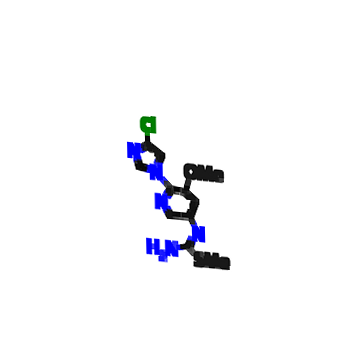 COc1cc(N=C(N)SC)cnc1-n1cnc(Cl)c1